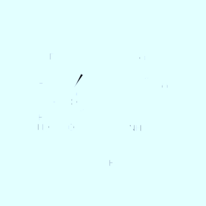 COC(=O)C1=C(CF)NC2=C(C(=O)OC2)[C@H]1c1cccc(F)c1[C@H]1CC1(F)F